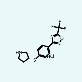 Cl.FC(F)(F)c1nc(-c2ccc(S[C@@H]3CCNC3)cc2)no1